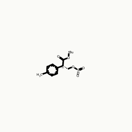 Cc1ccc([C@@H](CO[SH](=O)=O)C(=O)OC(C)(C)C)cc1